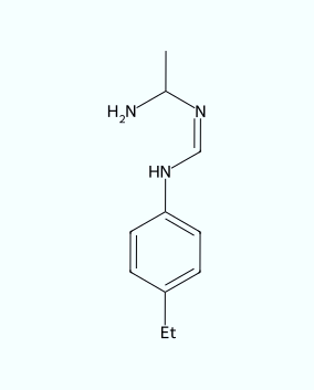 CCc1ccc(N/C=N\C(C)N)cc1